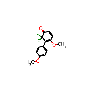 COC1=C(c2ccc(OC)cc2)C(F)(F)C(=O)C=C1